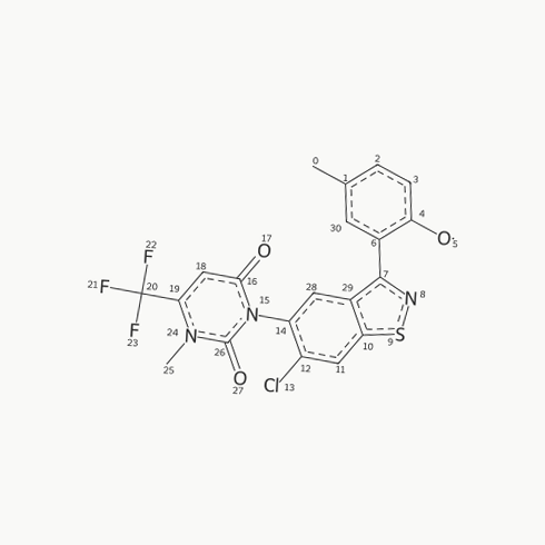 Cc1ccc([O])c(-c2nsc3cc(Cl)c(-n4c(=O)cc(C(F)(F)F)n(C)c4=O)cc23)c1